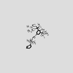 CC(C)(C)c1cc(SC[Si](C)(C)c2ccccc2)cc(C(C)(C)C)c1O